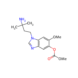 COC(=O)Oc1cc2ncn(CCC(C)(C)N)c2cc1OC